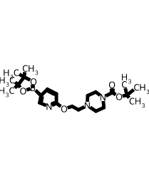 CC(C)(C)OC(=O)N1CCN(CCOc2ccc(B3OC(C)(C)C(C)(C)O3)cn2)CC1